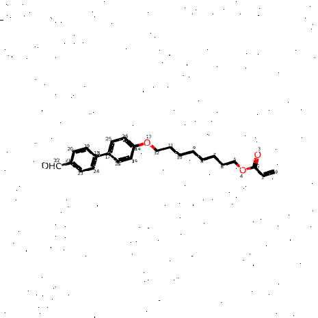 C=CC(=O)OCCCCCCCCOc1ccc(-c2ccc(C=O)cc2)cc1